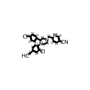 C#Cc1ccc(N2CCN(Cc3ccc(C#N)cn3)CC2c2ccc(Cl)cc2)c(Cl)c1